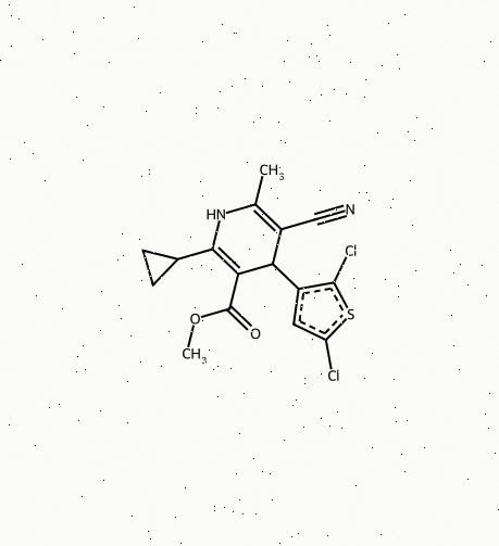 COC(=O)C1=C(C2CC2)NC(C)=C(C#N)C1c1cc(Cl)sc1Cl